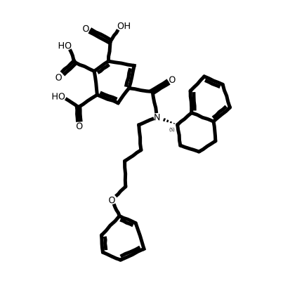 O=C(O)c1cc(C(=O)N(CCCCOc2ccccc2)[C@H]2CCCc3ccccc32)cc(C(=O)O)c1C(=O)O